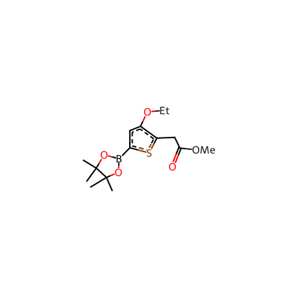 CCOc1cc(B2OC(C)(C)C(C)(C)O2)sc1CC(=O)OC